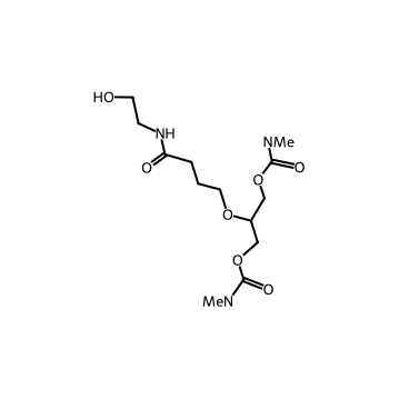 CNC(=O)OCC(COC(=O)NC)OCCCC(=O)NCCO